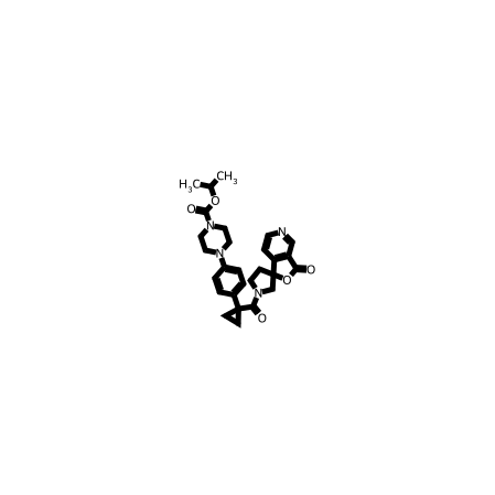 CC(C)OC(=O)N1CCN(c2ccc(C3(C(=O)N4CCC5(C4)OC(=O)c4cnccc45)CC3)cc2)CC1